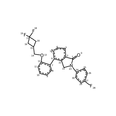 O=C1c2ccnc(-c3ccccc3OCC3CC(F)(F)C3)c2CN1c1ccc(F)cc1